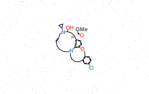 COC(=O)[C@H]1CC(O)N(C2CC2)C/C=C/CCCCN2CCCCc3cc(Cl)ccc3COc3ccc1cc32